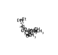 CCN(CC)CCC1CN(C(=O)O[C@@H]2CC[C@]3(CO3)[C@@H](C(C)(C)OCC=C(C)C)[C@@H]2OC)C1